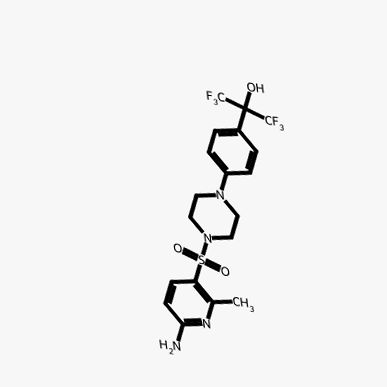 Cc1nc(N)ccc1S(=O)(=O)N1CCN(c2ccc(C(O)(C(F)(F)F)C(F)(F)F)cc2)CC1